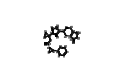 c1ccc(C2C[C@@H]2NCC2(c3noc(C4CCc5nc[nH]c5C4)n3)CC2)cc1